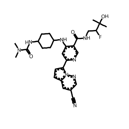 CN(C)C(=O)NC1CCC(Nc2cc(-c3ccc4cc(C#N)cnn34)ncc2C(=O)NCC(F)C(C)(C)O)CC1